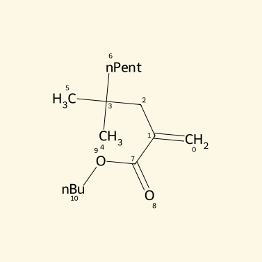 C=C(CC(C)(C)CCCCC)C(=O)OCCCC